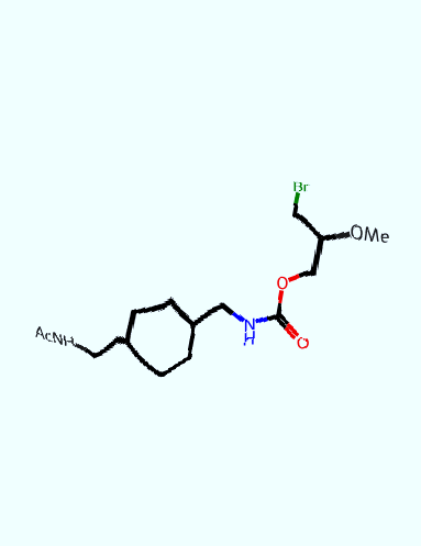 COC(CBr)COC(=O)NCC1CCC(CNC(C)=O)CC1